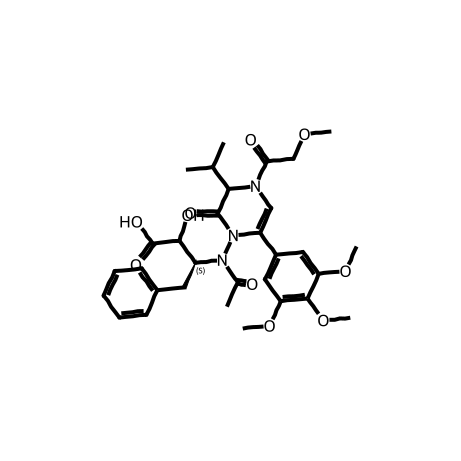 COCC(=O)N1C=C(c2cc(OC)c(OC)c(OC)c2)N(N(C(C)=O)[C@@H](Cc2ccccc2)C(O)C(=O)O)C(=O)C1C(C)C